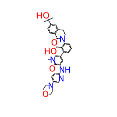 Cn1cc(-c2cccc(N3CCc4cc(C(C)(C)O)ccc4C3=O)c2CO)cc(Nc2ccc(N3CCOCC3)cn2)c1=O